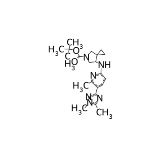 Cc1nc(NC2CN(C(=O)OC(C)(C)C)CC23CC3)ccc1-c1nc(C)n(C)n1